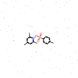 Cc1ccc(S(=O)(=O)O[n+]2c(C)cc(C)cc2C)cc1